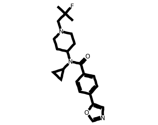 CC(C)(F)CN1CCC(N(C(=O)c2ccc(-c3cnco3)cc2)C2CC2)CC1